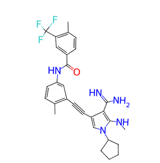 CNc1c(C(=N)N)c(C#Cc2cc(NC(=O)c3ccc(C)c(C(F)(F)F)c3)ccc2C)cn1C1CCCC1